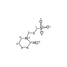 Cl.O=S(=O)(Cl)CCCN1CCCCC1